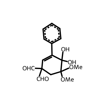 COC1(OC)CC(C=O)(C=O)C=C(c2ccccc2)C1(O)O